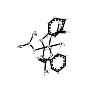 CC(=O)O[Si](C)(OC(C)=O)C(Oc1ccccc1)(Oc1ccccc1)OP(O)O